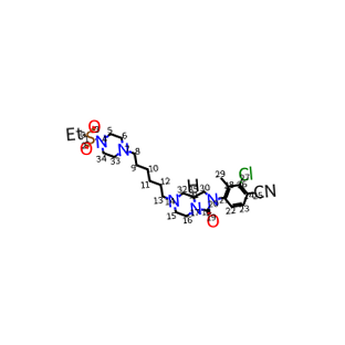 CCS(=O)(=O)N1CCN(CCCCCCN2CCN3C(=O)N(c4ccc(C#N)c(Cl)c4C)C[C@@H]3C2)CC1